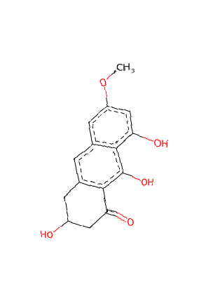 COc1cc(O)c2c(O)c3c(cc2c1)CC(O)CC3=O